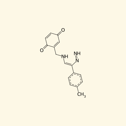 Cc1ccc(/C(=C/NCC2=CC(=O)C=CC2=O)N=N)cc1